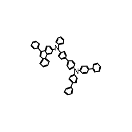 c1ccc(-c2ccc(N(c3ccc(-c4ccccc4)cc3)c3ccc(-c4ccc(N(c5ccccc5)c5ccc6c(-c7ccccc7)cc7ccccc7c6c5)cc4)cc3)cc2)cc1